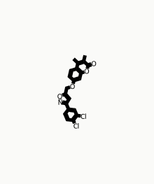 Cc1c(C)c2ccc(OCc3cc(-c4ccc(Cl)c(Cl)c4)no3)cc2oc1=O